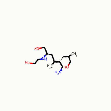 CC(CO)C[C@H](CN)C(C)C[C@H](CO)NCCO